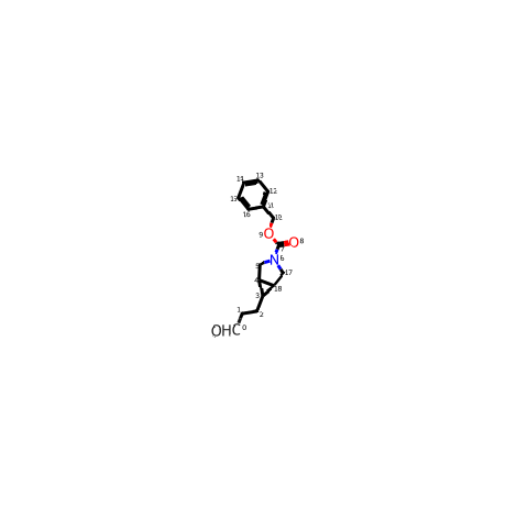 O=CCCC1C2CN(C(=O)OCc3ccccc3)CC12